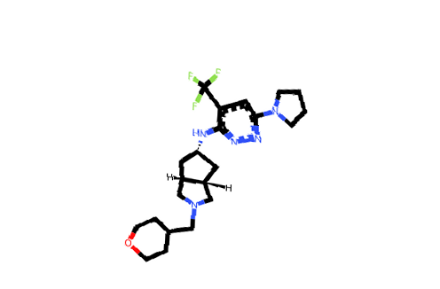 FC(F)(F)c1cc(N2CCCC2)nnc1N[C@@H]1C[C@@H]2CN(CC3CCOCC3)C[C@@H]2C1